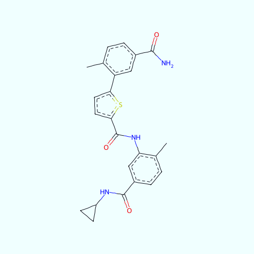 Cc1ccc(C(=O)NC2CC2)cc1NC(=O)c1ccc(-c2cc(C(N)=O)ccc2C)s1